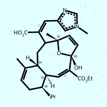 CCOC(=O)/C1=C/[C@H]2[C@@H](C(C)C)CC=C(C)[C@@H]2CC(/C(=C\c2cn(C)cn2)C(=O)O)[C@]2(C)C=C[C@@]1(O)O2